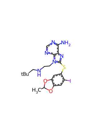 CC1Oc2cc(I)c(Sc3nc4c(N)ncnc4n3CCNCC(C)(C)C)cc2O1